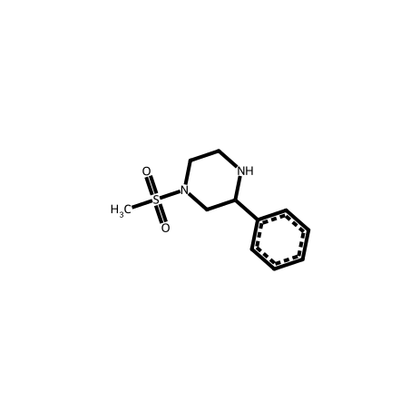 CS(=O)(=O)N1CCNC(c2ccccc2)C1